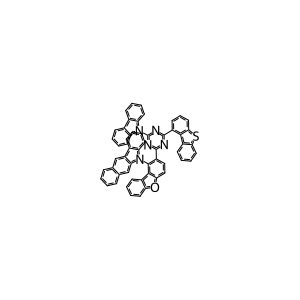 c1ccc2cc3c(cc2c1)c1ccccc1n3-c1c(-c2nc(-c3cccc4sc5ccccc5c34)nc(-n3c4ccccc4c4ccccc43)n2)ccc2oc3ccccc3c12